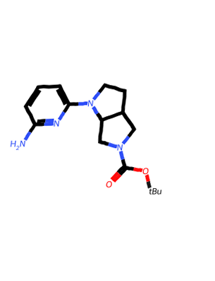 CC(C)(C)OC(=O)N1CC2CCN(c3cccc(N)n3)C2C1